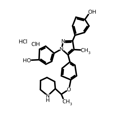 Cc1c(-c2ccc(O)cc2)nn(-c2ccc(O)cc2)c1-c1ccc(OC(C)C2CCCCN2)cc1.Cl.Cl